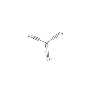 C#C[SiH](C#C)C#C